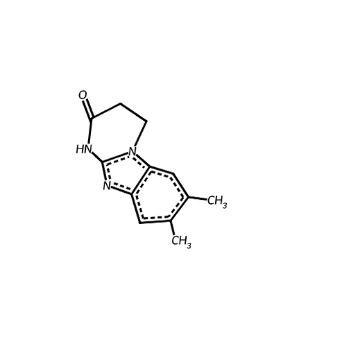 Cc1cc2nc3n(c2cc1C)CCC(=O)N3